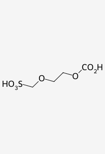 O=C(O)OCCOCS(=O)(=O)O